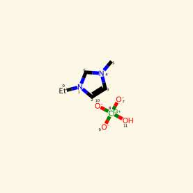 CCN1C=CN(C)C1.[O-][Cl+3]([O-])([O-])O